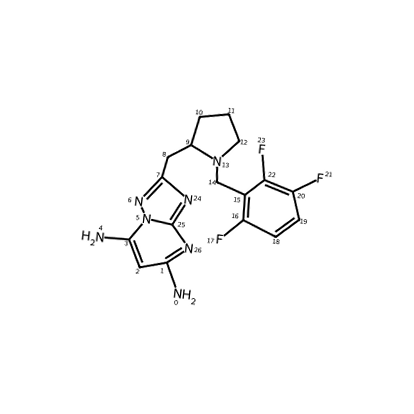 Nc1cc(N)n2nc(CC3CCCN3Cc3c(F)ccc(F)c3F)nc2n1